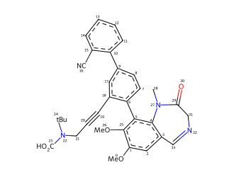 COc1cc2c(c(-c3ccc(-c4ccccc4C#N)cc3C#CCN(C(=O)O)C(C)(C)C)c1OC)N(C)C(=O)CN=C2